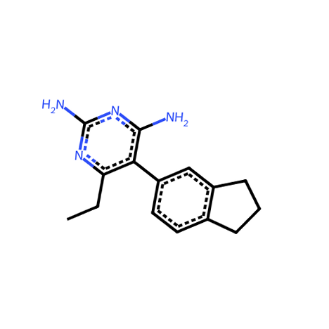 CCc1nc(N)nc(N)c1-c1ccc2c(c1)CCC2